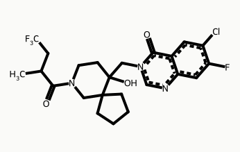 CC(CC(F)(F)F)C(=O)N1CCC(O)(Cn2cnc3cc(F)c(Cl)cc3c2=O)C2(CCCC2)C1